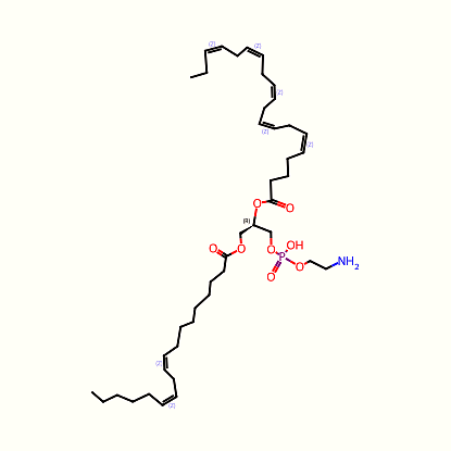 CC/C=C\C/C=C\C/C=C\C/C=C\C/C=C\CCCC(=O)O[C@H](COC(=O)CCCCCCC/C=C\C/C=C\CCCCC)COP(=O)(O)OCCN